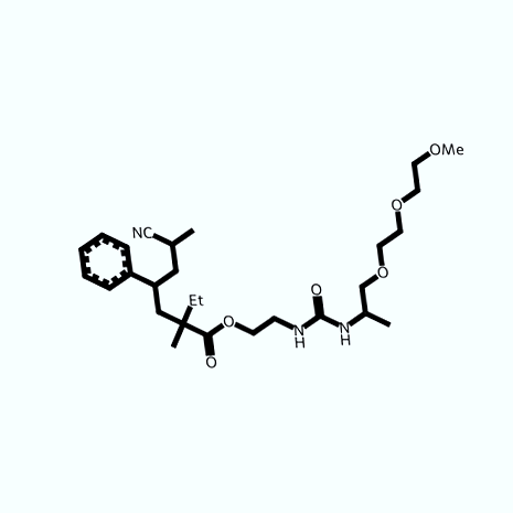 CCC(C)(CC(CC(C)C#N)c1ccccc1)C(=O)OCCNC(=O)NC(C)COCCOCCOC